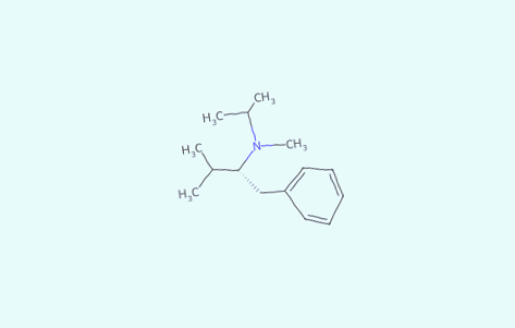 CC(C)[C@@H](Cc1ccccc1)N(C)C(C)C